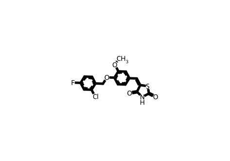 COc1cc(C=C2SC(=O)NC2=O)ccc1OCc1ccc(F)cc1Cl